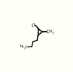 CCCC[C]1C(C)C1Cl